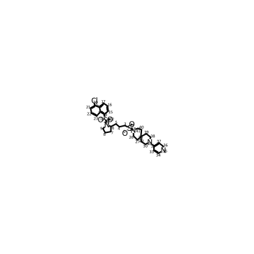 O=S(=O)(CCCC1CCCN1S(=O)(=O)c1cccc2c(Cl)cccc12)N1CCC2(CCN(c3ccncc3)CC2)CC1